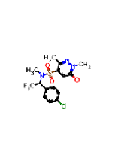 Cc1nn(C)c(=O)cc1S(=O)(=O)N(C)C(c1ccc(Cl)cc1)C(F)(F)F